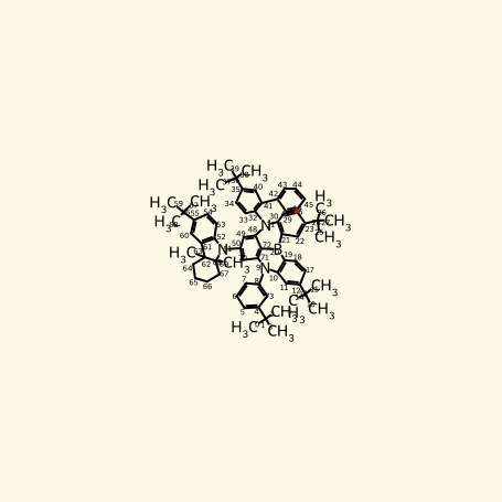 CC(C)(C)c1cccc(N2c3cc(C(C)(C)C)ccc3B3c4cc(C(C)(C)C)ccc4N(c4ccc(C(C)(C)C)cc4-c4ccccc4)c4cc(N5c6ccc(C(C)(C)C)cc6C6(C)CCCCC56C)cc2c43)c1